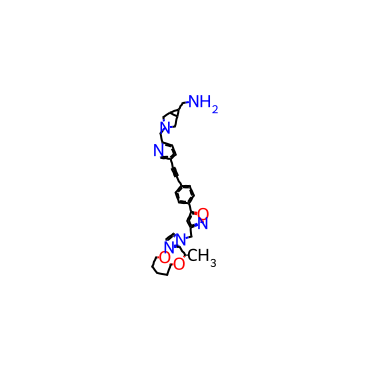 C[C@H](OC1CCCCO1)c1nccn1Cc1cc(-c2ccc(C#Cc3ccc(CN4CC5C(CN)C5C4)nc3)cc2)on1